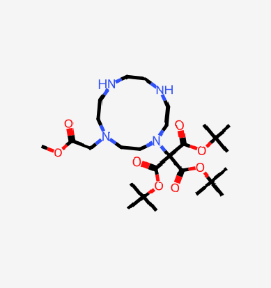 COC(=O)CN1CCNCCNCCN(C(C(=O)OC(C)(C)C)(C(=O)OC(C)(C)C)C(=O)OC(C)(C)C)CC1